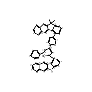 CC1(C)c2cc3ccccc3cc2-c2c(-c3ccc(/C(=C/C(N)c4cccc5oc6cc7ccccc7cc6c45)NCc4ccccc4)cc3)cccc21